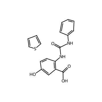 O=C(Nc1ccccc1)Nc1ccc(O)cc1C(=O)O.c1ccsc1